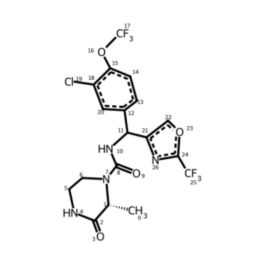 C[C@@H]1C(=O)NCCN1C(=O)NC(c1ccc(OC(F)(F)F)c(Cl)c1)c1coc(C(F)(F)F)n1